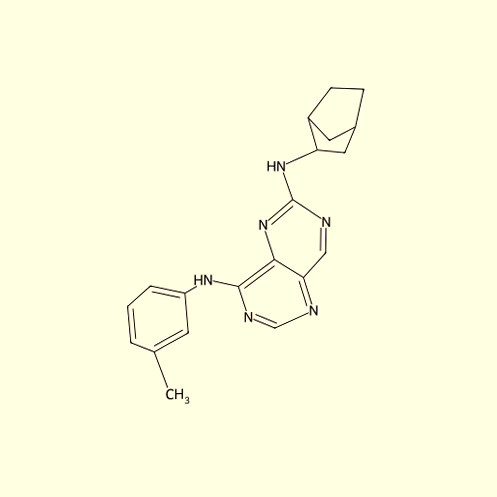 Cc1cccc(Nc2ncnc3cnc(NC4CC5CCC4C5)nc23)c1